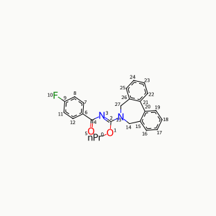 CCCOC(=NC(=O)c1ccc(F)cc1)N1Cc2ccccc2-c2ccccc2C1